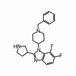 Fc1ccc2nc(C3CCNC3)n(C3CCN(Cc4ccccc4)CC3)c2c1F